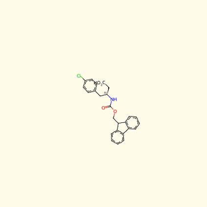 O=C(O)C[C@H](Cc1ccc(Cl)cc1)NC(=O)OCC1c2ccccc2-c2ccccc21